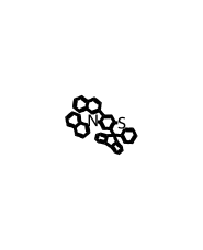 c1ccc2c(c1)Sc1cc3c4ccc5ccccc5c4n(-c4cccc5ccccc45)c3cc1C21c2ccccc2-c2ccccc21